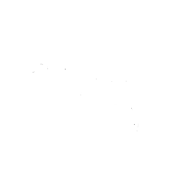 NC(=O)c1ccc(OC[C@H](O)CO)cc1Cl